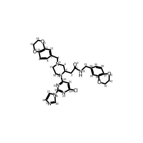 O=C(CC1CN(Cc2ccc3c(c2)OCCO3)CCN1c1cc(Cl)nc(-n2ccnc2)n1)NCc1ccc2c(c1)OCCO2